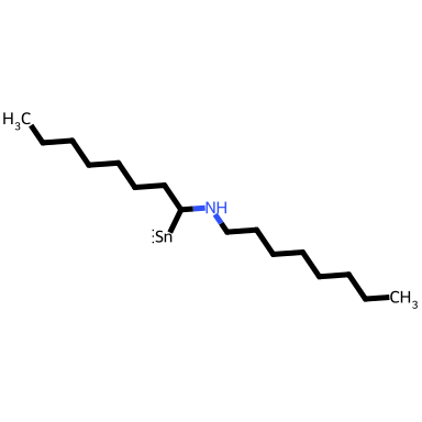 CCCCCCCCN[CH]([Sn])CCCCCCC